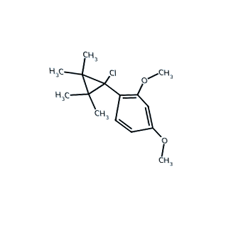 COc1ccc(C2(Cl)C(C)(C)C2(C)C)c(OC)c1